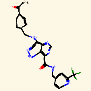 CC(=O)C1CCC(CNc2n[nH]c3c(C(=O)NCc4ccnc(C(F)(F)F)c4)ncnc23)CC1